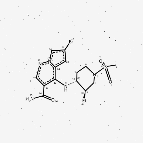 CC[C@@H]1CN(S(C)(=O)=O)CC[C@H]1Nc1c(C(N)=O)cnn2cc(Br)cc12